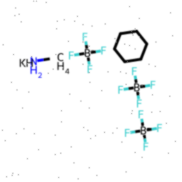 C.C1CCCCC1.CN.F[B-](F)(F)F.F[B-](F)(F)F.F[B-](F)(F)F.[KH]